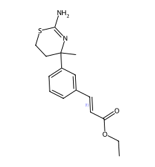 CCOC(=O)/C=C/c1cccc(C2(C)CCSC(N)=N2)c1